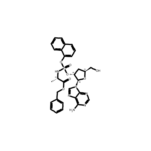 C[C@H](NP(=O)(Oc1cccc2ccccc12)O[C@@H]1C[C@@H](CO)O[C@H]1n1cnc2c(N)ncnc21)C(=O)OCc1ccccc1